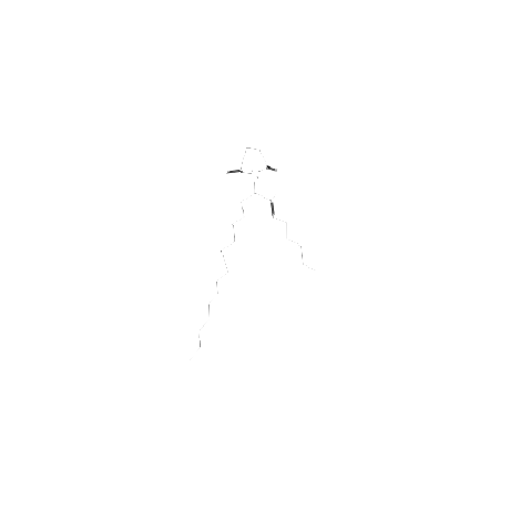 CCCCC/C=C(\C)C(CCCCCCCCCCCCC)N1C(=O)CCC1=O